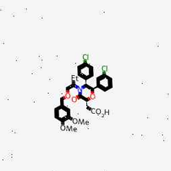 CCC(COCc1ccc(OC)c(OC)c1)N1C(=O)[C@@H](CC(=O)O)O[C@H](c2cccc(Cl)c2)[C@H]1c1ccc(Cl)cc1